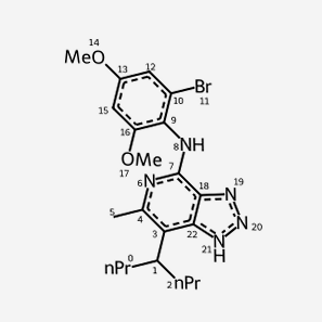 CCCC(CCC)c1c(C)nc(Nc2c(Br)cc(OC)cc2OC)c2nn[nH]c12